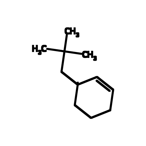 CC(C)(C)C[C]1C=CCCC1